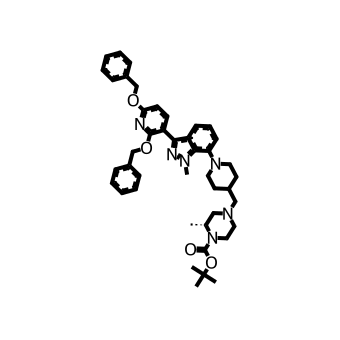 C[C@@H]1CN(CC2CCN(c3cccc4c(-c5ccc(OCc6ccccc6)nc5OCc5ccccc5)nn(C)c34)CC2)CCN1C(=O)OC(C)(C)C